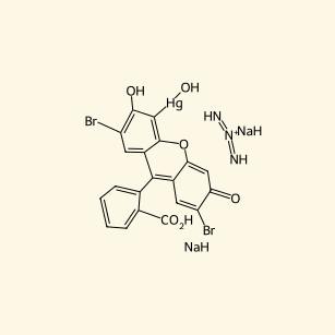 N=[N+]=N.O=C(O)c1ccccc1-c1c2cc(Br)c(=O)cc-2oc2[c]([Hg][OH])c(O)c(Br)cc12.[NaH].[NaH]